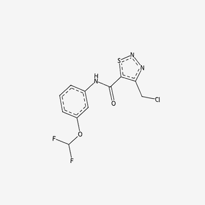 O=C(Nc1cccc(OC(F)F)c1)c1snnc1CCl